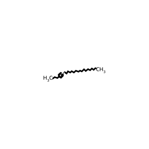 CCCCCCCCCCCCCCCCCC[n+]1ccc(CCCC)cc1